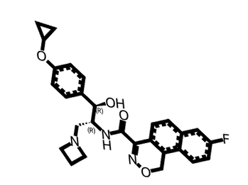 O=C(N[C@H](CN1CCC1)[C@H](O)c1ccc(OC2CC2)cc1)C1=NOCc2c1ccc1cc(F)ccc21